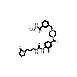 CC(C)(C)NC(=O)c1cccc(CN2CCN(C(=O)c3ccc(NC(=O)NCCCN4CCCC4=O)c(F)c3)CC2)c1